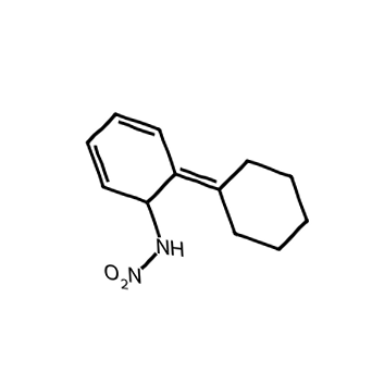 O=[N+]([O-])NC1C=CC=CC1=C1CCCCC1